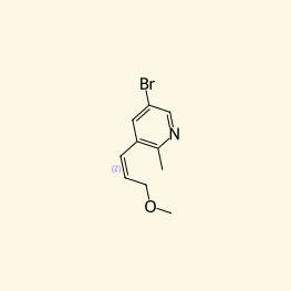 COC/C=C\c1cc(Br)cnc1C